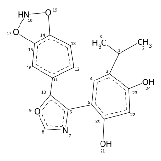 CC(C)c1cc(-c2ncoc2-c2ccc3c(c2)ONO3)c(O)cc1O